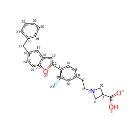 O=C(O)C1CN(CCc2ccc(-c3cc4cc(Cc5ccccc5)ccc4o3)c(F)c2)C1